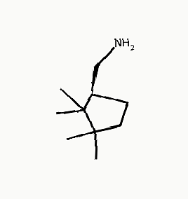 CC1(C)CC[C@H](CN)C1(C)C